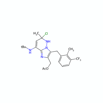 CC(=O)OCc1nc2n(c1Cc1cccc(C(F)(F)F)c1C)NC(C)(Cl)C=C2NC(C)(C)C